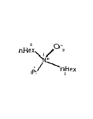 CCCCCC[N+]([O-])(CCCCCC)C(C)C